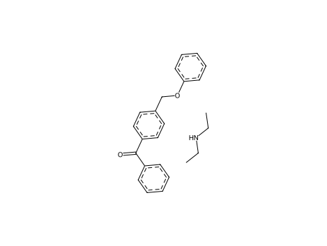 CCNCC.O=C(c1ccccc1)c1ccc(COc2ccccc2)cc1